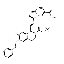 COC(=O)c1cnc2ncc(/C=C/C3c4cc(OC)c(OCc5ccccc5)cc4CCN3C(=O)OC(C)(C)C)n2c1